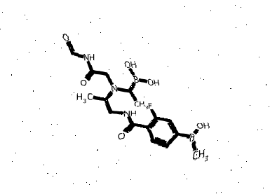 CB(O)c1ccc(C(=O)NCC(C)N(CC(=O)NC=O)C(C)B(O)O)c(F)c1